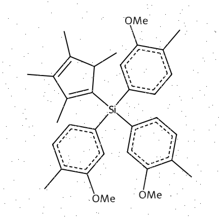 COc1cc([Si](C2=C(C)C(C)=C(C)C2C)(c2ccc(C)c(OC)c2)c2ccc(C)c(OC)c2)ccc1C